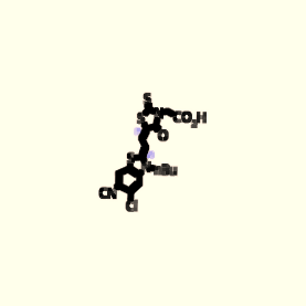 [C-]#[N+]c1cc2c(cc1Cl)N(CCCC)/C(=C/C=C1/SC(=S)N(CC(=O)O)C1=O)S2